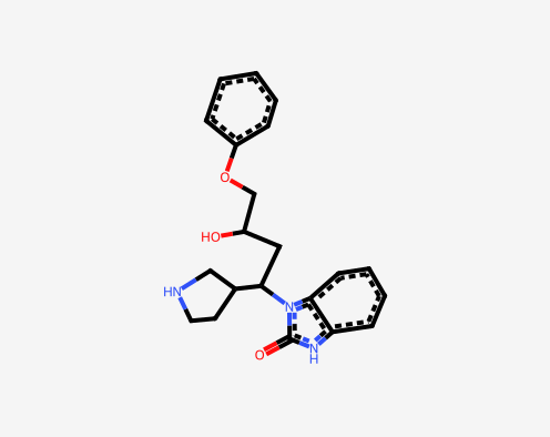 O=c1[nH]c2ccccc2n1C(CC(O)COc1ccccc1)C1CCNC1